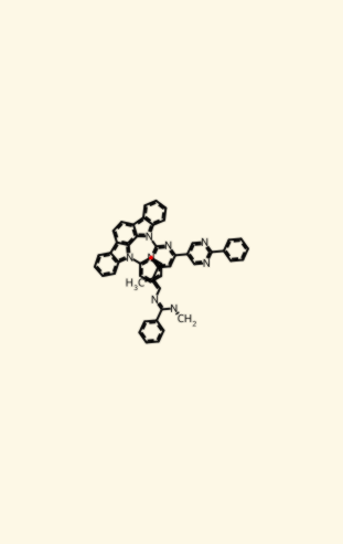 C=N/C(=N\C=C(/C)c1cc(-c2cnc(-c3ccccc3)nc2)nc(-n2c3ccccc3c3ccc4c5ccccc5n(-c5ccccc5)c4c32)n1)c1ccccc1